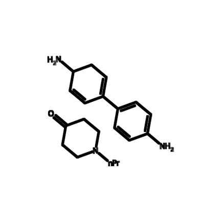 CCCN1CCC(=O)CC1.Nc1ccc(C2=CCC(N)C=C2)cc1